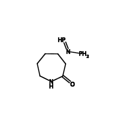 O=C1CCCCCN1.P=NP